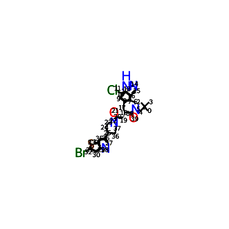 CC(C)(C)CN1Cc2c(cc(Cl)c3[nH]ncc23)C[C@@H](CC(=O)N2CCC(c3cnc4cc(Br)sc4c3)CC2)C1=O